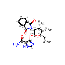 CC(=O)OC[C@H]1O[C@@H](Oc2nc[nH]c2C(N)=O)[C@H](N2C(=O)c3ccccc3C2=O)[C@@H](OC(C)=O)[C@@H]1OC(C)=O